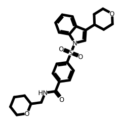 O=C(NCC1CCCCO1)c1ccc(S(=O)(=O)n2cc(C3CCOCC3)c3ccccc32)cc1